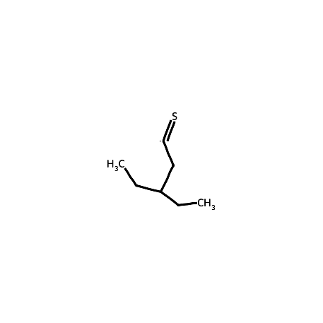 CCC(CC)C[C]=S